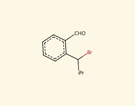 CC(C)C(Br)c1ccccc1C=O